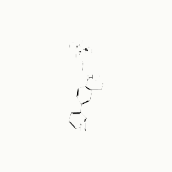 CS(=O)(=O)OCC[C@@H]1OCCc2cc(-c3cccnc3)ccc21